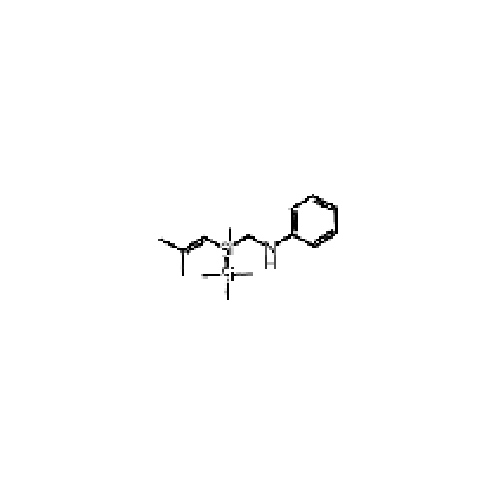 CC(C)=C[SiH](CNc1ccccc1)[Si](C)(C)C